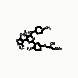 CNC[C@@H](O)COc1ccc(C(F)(F)F)c(-c2nc(NC3CCN(C)CC3)c(C)c(-c3c(C)noc3C)n2)c1